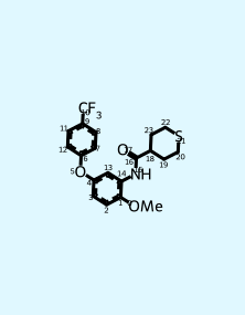 COc1ccc(Oc2ccc(C(F)(F)F)cc2)cc1NC(=O)C1CCSCC1